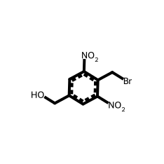 O=[N+]([O-])c1cc(CO)cc([N+](=O)[O-])c1CBr